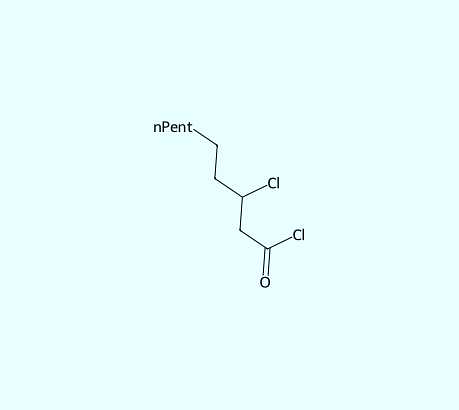 CCCCCCCC(Cl)CC(=O)Cl